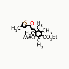 CCOC(=O)C1=C(C)C(OC)C(C)(C=CC(=O)c2cc(C)cs2)C(C)=C1C